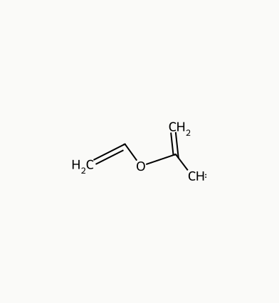 [CH]C(=C)OC=C